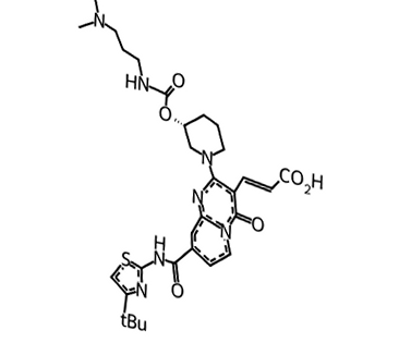 CN(C)CCCNC(=O)O[C@@H]1CCCN(c2nc3cc(C(=O)Nc4nc(C(C)(C)C)cs4)ccn3c(=O)c2C=CC(=O)O)C1